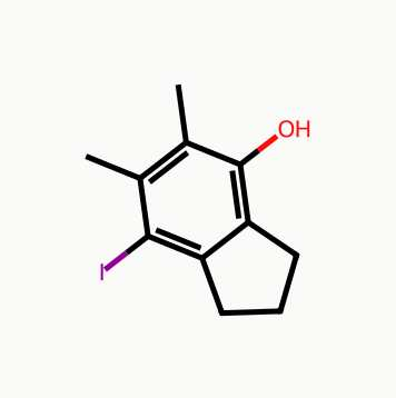 Cc1c(C)c(I)c2c(c1O)CCC2